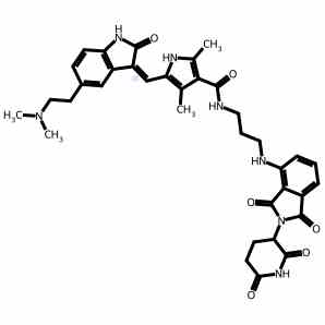 Cc1[nH]c(/C=C2\C(=O)Nc3ccc(CCN(C)C)cc32)c(C)c1C(=O)NCCCNc1cccc2c1C(=O)N(C1CCC(=O)NC1=O)C2=O